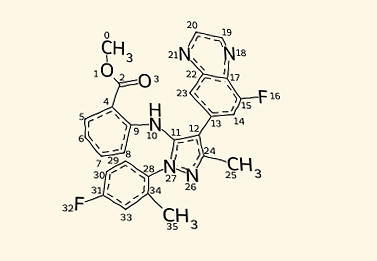 COC(=O)c1ccccc1Nc1c(-c2cc(F)c3nccnc3c2)c(C)nn1-c1ccc(F)cc1C